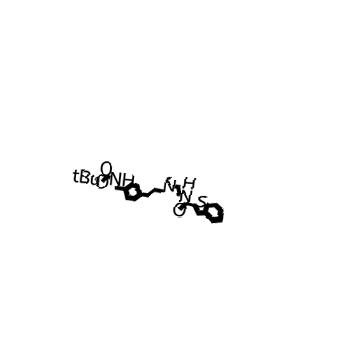 CN(CCCc1ccc(CNC(=O)OC(C)(C)C)cc1)CCNC(=O)c1cc2ccccc2s1